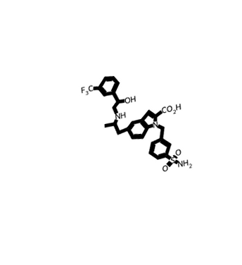 CC(Cc1ccc2c(c1)cc(C(=O)O)n2Cc1cccc(S(N)(=O)=O)c1)NCC(O)c1cccc(C(F)(F)F)c1